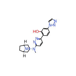 CN(c1ccc(-c2ccc(-n3ccnn3)cc2O)nn1)[C@@H]1C[C@H]2CC[C@@H](C1)N2